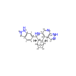 c1cc2cn[nH]c2cc1C1Nc2cnc3[nH]ncc3c2[C@H]2C3CCC(C3)[C@@H]12